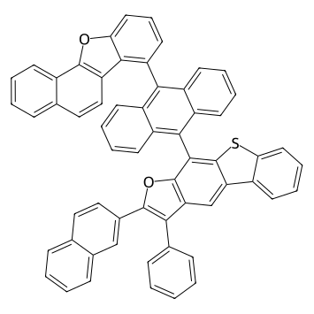 c1ccc(-c2c(-c3ccc4ccccc4c3)oc3c(-c4c5ccccc5c(-c5cccc6oc7c8ccccc8ccc7c56)c5ccccc45)c4sc5ccccc5c4cc23)cc1